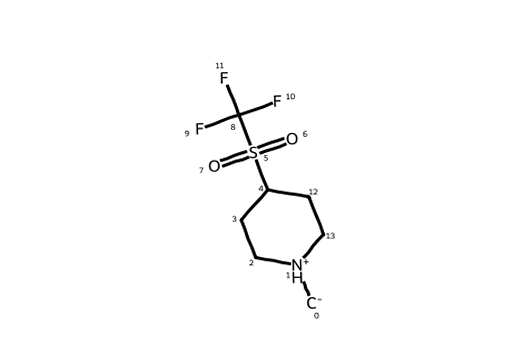 [CH2-][NH+]1CCC(S(=O)(=O)C(F)(F)F)CC1